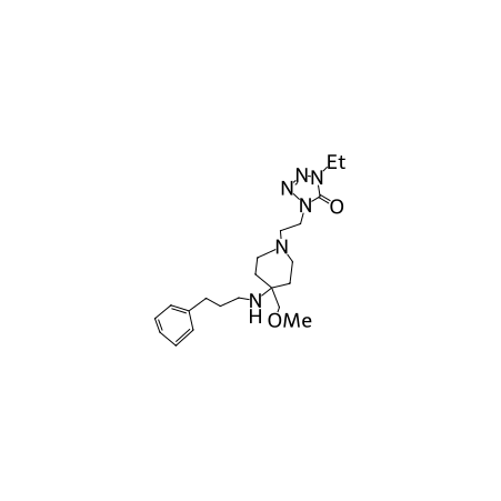 CCn1nnn(CCN2CCC(COC)(NCCCc3ccccc3)CC2)c1=O